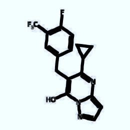 Oc1c(Cc2ccc(F)c(C(F)(F)F)c2)c(C2CC2)nc2ccnn12